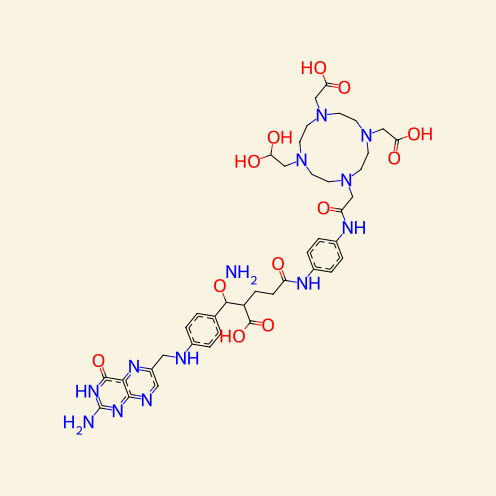 NOC(c1ccc(NCc2cnc3nc(N)[nH]c(=O)c3n2)cc1)C(CCC(=O)Nc1ccc(NC(=O)CN2CCN(CC(=O)O)CCN(CC(=O)O)CCN(CC(O)O)CC2)cc1)C(=O)O